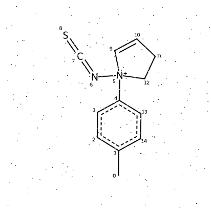 Cc1ccc([N+]2(N=C=S)C=CCC2)cc1